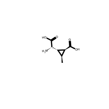 C[C@@H]1[C@H](C(=O)O)[C@H]1[C@H](N)C(=O)O